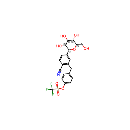 N#Cc1ccc([C@@H]2O[C@H](CO)[C@@H](O)[C@H](O)[C@H]2O)cc1Cc1ccc(OS(=O)(=O)C(F)(F)F)cc1